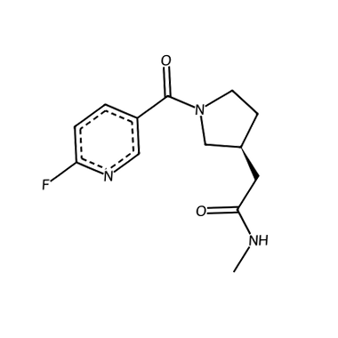 CNC(=O)C[C@@H]1CCN(C(=O)c2ccc(F)nc2)C1